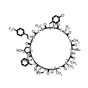 CC[C@H](C)[C@@H]1NC(=O)[C@H](C)N(C)C(=O)C[C@@H](C)NC(=O)[C@H](CC(C)C)N(C)C(=O)[C@H](Cc2ccccc2)N(C)C(=O)[C@@H]2C[C@@H](O)CN2C(=O)[C@H](CCc2ccc(C(F)(F)F)cc2)NC(=O)CN(C)C(=O)[C@H](Cc2ccc(Cl)cc2)N(C)C(=O)CN(C)C(=O)CN(C)C1=O